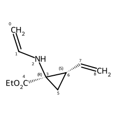 C=CN[C@]1(C(=O)OCC)C[C@H]1C=C